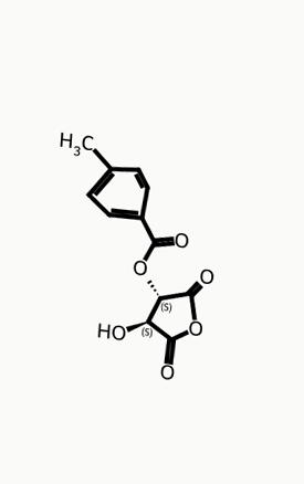 Cc1ccc(C(=O)O[C@@H]2C(=O)OC(=O)[C@H]2O)cc1